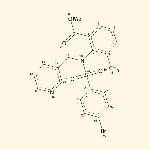 COC(=O)c1cccc(C)c1N(Cc1cccnc1)S(=O)(=O)c1ccc(Br)cc1